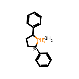 B[PH2]1C(c2ccccc2)CC[C@@H]1c1ccccc1